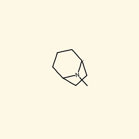 CN1[C]2CCCC1CC2